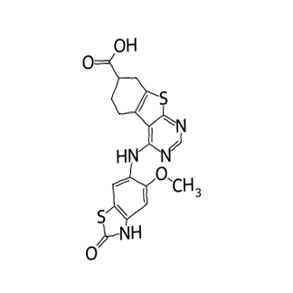 COc1cc2[nH]c(=O)sc2cc1Nc1ncnc2sc3c(c12)CCC(C(=O)O)C3